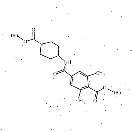 Cc1cc(C(=O)NC2CCN(C(=O)OC(C)(C)C)CC2)cc(C)c1C(=O)OC(C)(C)C